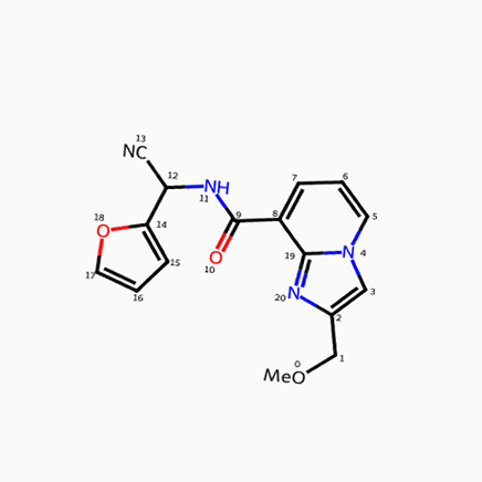 COCc1cn2cccc(C(=O)NC(C#N)c3ccco3)c2n1